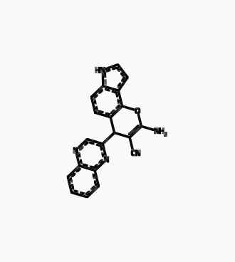 N#CC1=C(N)Oc2c(ccc3[nH]ccc23)C1c1cnc2ccccc2n1